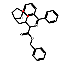 O=C(OCc1ccccc1)C(N=C(c1ccccc1)c1ccccc1)C1CC2CCC(C1)O2